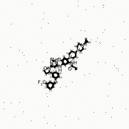 C=CC(=O)Nc1cc(Nc2cc(N3OCCC3c3cccc(Oc4cccc(C(F)(F)F)c4)c3)ncn2)c(OC)cc1N1CCC(N2CCN(C3CC3)CC2)CC1